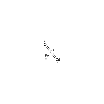 O=[C]=[Cd].[Fe]